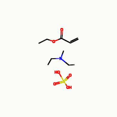 C=CC(=O)OCC.CCN(C)CC.O=S(=O)(O)O